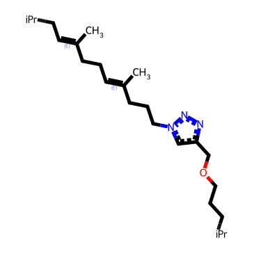 C/C(=C\CC(C)C)CC/C=C(\C)CCCn1cc(COCCCC(C)C)nn1